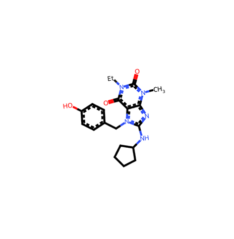 CCn1c(=O)c2c(nc(NC3CCCC3)n2Cc2ccc(O)cc2)n(C)c1=O